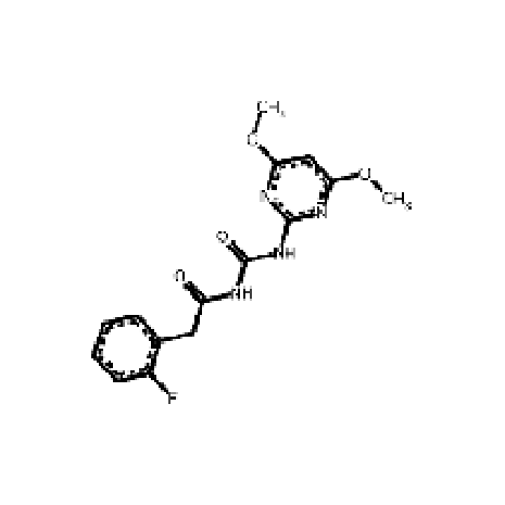 COc1cc(OC)nc(NC(=O)NC(=O)Cc2ccccc2F)n1